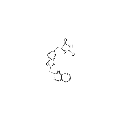 O=C1NC(=O)C(Cc2ccc3oc(Cc4ccc5ccccc5n4)cc3c2)S1